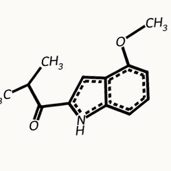 COc1cccc2[nH]c(C(=O)C(C)C)cc12